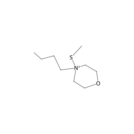 CCCC[N+]1(SC)CCOCC1